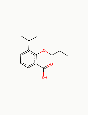 CCCOc1c(C(=O)O)cccc1C(C)C